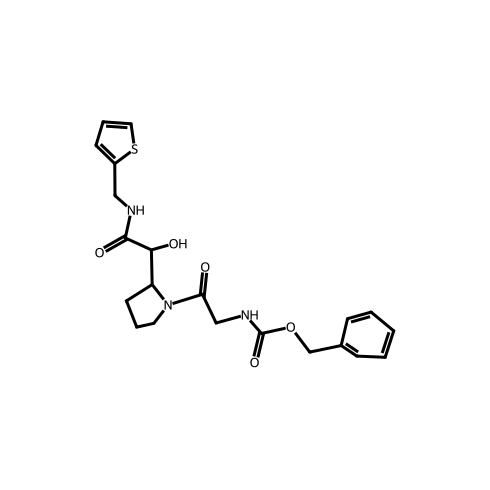 O=C(NCC(=O)N1CCCC1C(O)C(=O)NCc1cccs1)OCc1ccccc1